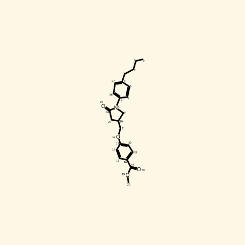 CCCCc1ccc(N2CC(COc3ccc(C(=O)OC)cc3)CC2=O)cc1